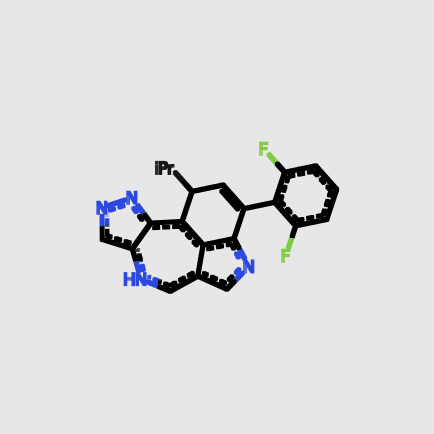 CC(C)C1C=C(c2c(F)cccc2F)c2ncc3c[nH]c4cnnc-4c1c2-3